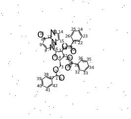 O=C(OC[C@H]1O[C@@H](n2ccc(=O)c3nccn32)[C@H](OC(=O)c2ccccc2)[C@@H]1OC(=O)c1ccccc1)c1ccccc1